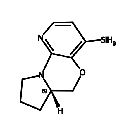 [SiH3]c1ccnc2c1OC[C@@H]1CCCN21